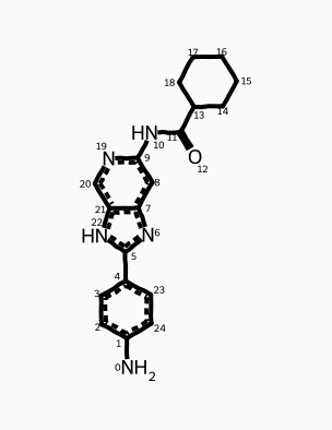 Nc1ccc(-c2nc3cc(NC(=O)C4CCCCC4)ncc3[nH]2)cc1